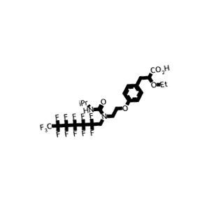 CCOC(Cc1ccc(OCCN(CC(F)(F)C(F)(F)C(F)(F)C(F)(F)C(F)(F)C(F)(F)F)C(=O)NC(C)C)cc1)C(=O)O